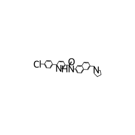 O=C(Nc1ccc2cc(CN3CCCC3)ccc2c1)c1ccc(-c2ccc(Cl)cc2)nc1